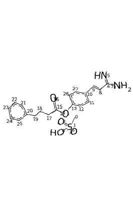 CS(=O)(=O)O.N=C(N)C=Cc1ccc(OC(=O)CCCc2ccccc2)cc1